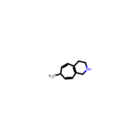 CC1C=CC2=C(C=C1)CNCC2